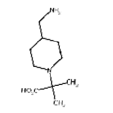 CC(C)(C(=O)O)N1CCC(CN)CC1